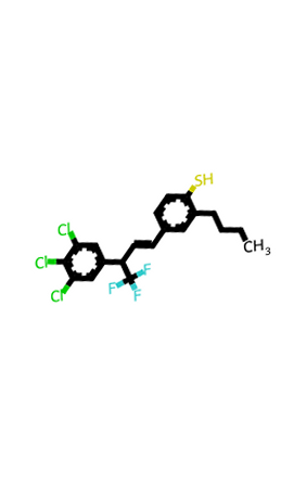 CCCCc1cc(/C=C/C(c2cc(Cl)c(Cl)c(Cl)c2)C(F)(F)F)ccc1S